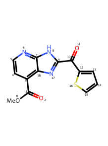 COC(=O)c1ccnc2[nH]c(C(=O)c3cccs3)nc12